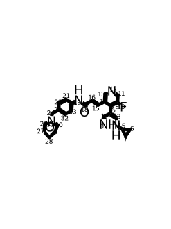 N=C/C(=C\NC1CC1)c1c(F)cncc1/C=C/C(=O)Nc1ccc(CN2CC3CC(C2)O3)cc1